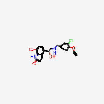 C#COc1ccc(CNCC(O)c2ccc(O)c3[nH]c(=O)ccc23)cc1Cl